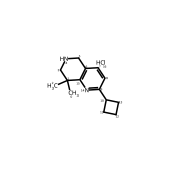 CC1(C)CNCc2ccc(C3CCC3)nc21.Cl